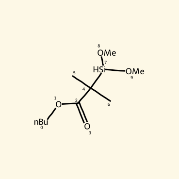 CCCCOC(=O)C(C)(C)[SiH](OC)OC